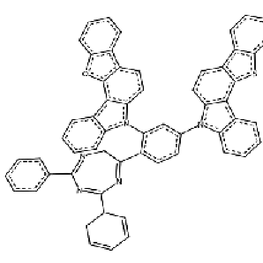 C1=CCC(C2=NC(c3ccccc3)=NCC(c3ccc(-n4c5ccccc5c5c6sc7ccccc7c6ccc54)cc3-n3c4ccccc4c4c5oc6ccccc6c5ccc43)=N2)C=C1